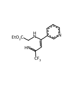 CCOC(=O)CN/C(=C\C(=N)C(F)(F)F)c1cccnc1